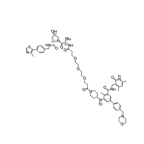 CCN(c1cc(-c2ccc(CN3CCOCC3)cc2)cc(C(=O)NCc2c(C)cc(C)[nH]c2=O)c1C)C1CCN(C(=O)CCOCCOCCOCCC(=O)N[C@@H](C(=O)N2C[C@H](O)C[C@H]2C(=O)NCc2ccc(-c3scnc3C)cc2)C(C)(C)C)CC1